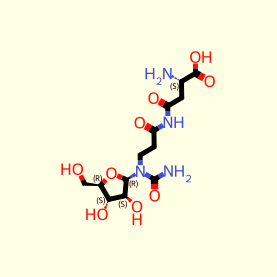 NC(=O)N(CCC(=O)NC(=O)C[C@H](N)C(=O)O)[C@@H]1O[C@H](CO)[C@@H](O)[C@@H]1O